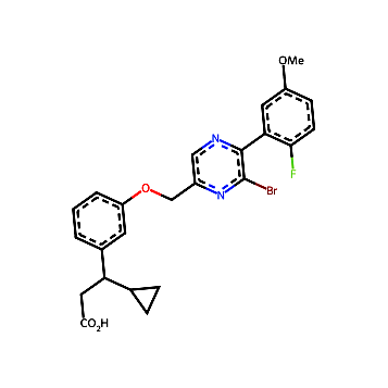 COc1ccc(F)c(-c2ncc(COc3cccc(C(CC(=O)O)C4CC4)c3)nc2Br)c1